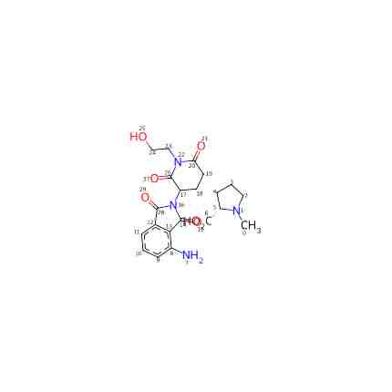 CN1CCC[C@H]1C(=O)O.Nc1cccc2c1C(=O)N(C1CCC(=O)N(CCO)C1=O)C2=O